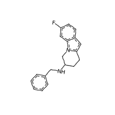 Fc1ccc2cc3n(c2c1)CC(NCc1ccccc1)CC3